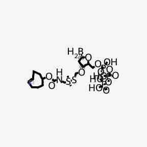 B[C@H]1C[C@@H](OCSS(C)(C)CNC(=O)OC2CC/C=C/CCC2)C(COP(=O)(O)OP(=O)(O)OP(=O)(O)O)O1